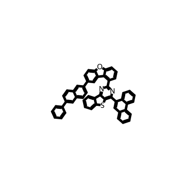 c1ccc(-c2ccc3cc(-c4ccc5oc6cccc(-c7nc(-c8cc9ccccc9c9ccccc89)c8sc9ccccc9c8n7)c6c5c4)ccc3c2)cc1